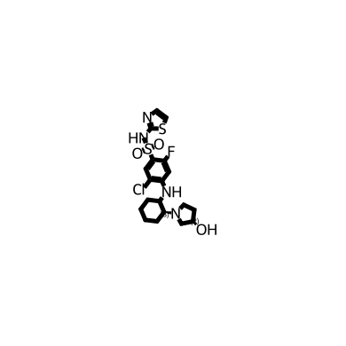 O=S(=O)(Nc1nccs1)c1cc(Cl)c(NC2CCCC[C@@H]2N2CC[C@@H](O)C2)cc1F